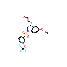 COc1ccc2c(c1)C(CCC=O)CN2S(=O)(=O)c1cccc(OC(F)(F)F)c1